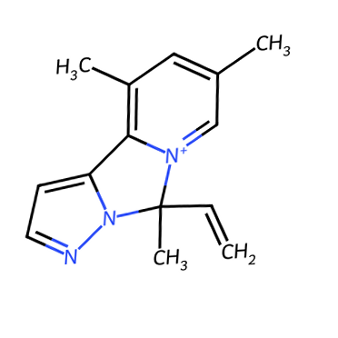 C=CC1(C)n2nccc2-c2c(C)cc(C)c[n+]21